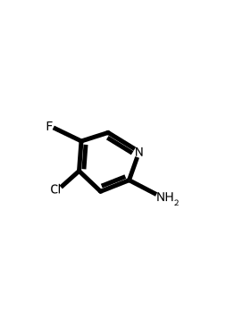 Nc1cc(Cl)c(F)cn1